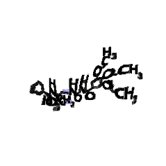 C=C(/C=C(\C=C/C)NC(=O)NC(=O)c1cc(OCC)c(OCC)c(OCC)c1)NC(=O)c1ccccc1